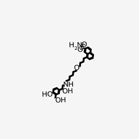 NS(=O)(=O)c1ccc2cccc(CCCCOCCCCCCNC[C@H](O)c3ccc(O)c(CO)c3)c2c1